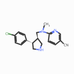 CN(C[C@H]1CNC[C@@H]1c1ccc(Cl)cc1)c1ccc(C#N)cn1